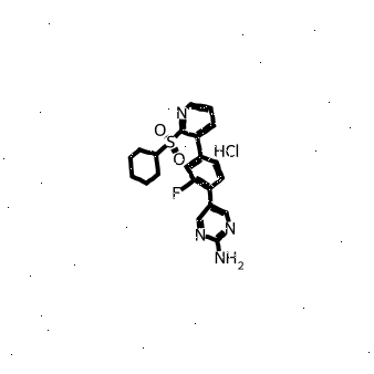 Cl.Nc1ncc(-c2ccc(-c3cccnc3S(=O)(=O)C3CCCCC3)cc2F)cn1